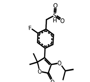 CC(C)OC1=C(c2ccc(C[SH](=O)=O)c(F)c2)C(C)(C)OC1=O